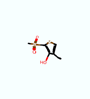 Cc1csc(S(C)(=O)=O)c1O